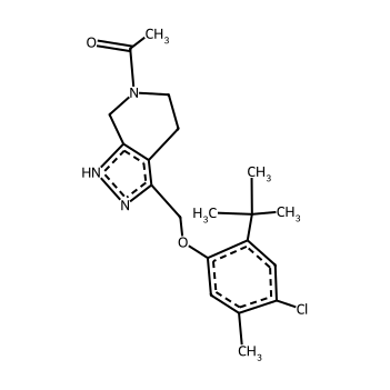 CC(=O)N1CCc2c(COc3cc(C)c(Cl)cc3C(C)(C)C)n[nH]c2C1